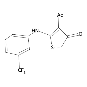 CC(=O)C1=C(Nc2cccc(C(F)(F)F)c2)SCC1=O